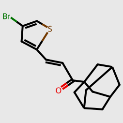 O=C(/C=C/c1cc(Br)cs1)C12CC3CC(CC(C3)C1)C2